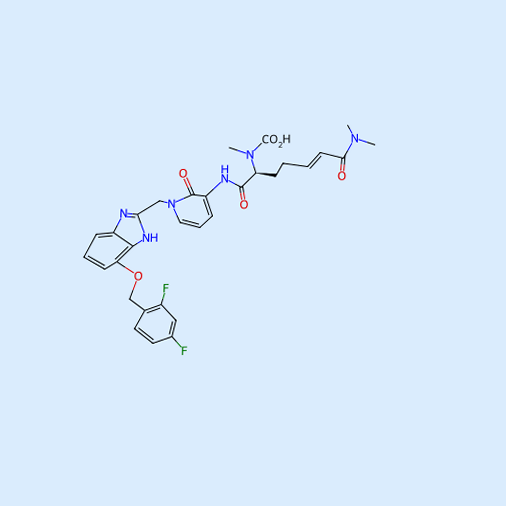 CN(C)C(=O)/C=C/CC[C@@H](C(=O)Nc1cccn(Cc2nc3cccc(OCc4ccc(F)cc4F)c3[nH]2)c1=O)N(C)C(=O)O